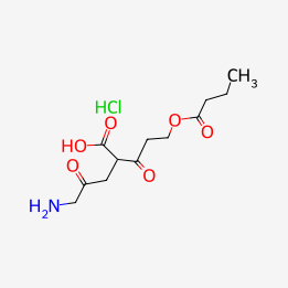 CCCC(=O)OCCC(=O)C(CC(=O)CN)C(=O)O.Cl